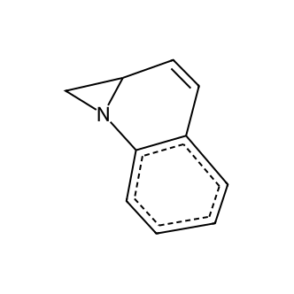 C1=CC2CN2c2ccccc21